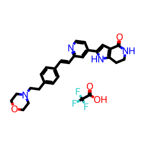 O=C(O)C(F)(F)F.O=C1NCCc2[nH]c(-c3ccnc(C=Cc4ccc(CCN5CCOCC5)cc4)c3)cc21